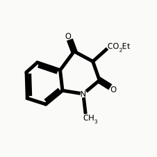 CCOC(=O)C1C(=O)c2ccccc2N(C)C1=O